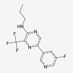 CCCNc1ncc(-c2cncc(F)c2)nc1C(F)(F)F